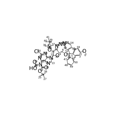 COc1ccc(C(OC[C@H]2O[C@@H](n3cnc4c(N(C(=O)O)C(=O)OC(C)(C)C)nc(Cl)nc43)[C@H](O[Si](C)(C)C(C)(C)C)[C@@H]2N=[N+]=[N-])(c2ccccc2)c2ccccc2)cc1